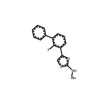 CC(C)(C)Nc1nc(-c2cccc(-c3ccccc3)c2F)cs1